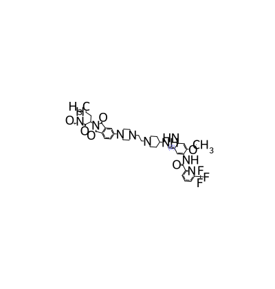 CCCC(C(=O)NC=O)N1C(=O)c2ccc(N3CCN(CCN4CCC(N/C=C5/C=C(NC(=O)c6cccc(C(F)(F)F)n6)C(OC)=CC5=N)CC4)CC3)cc2C1=O